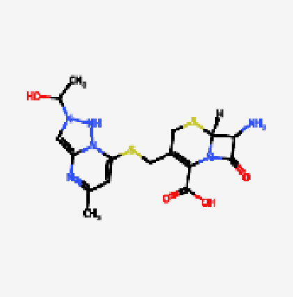 CC1=NC2=CN(C(C)O)NN2C(SCC2=C(C(=O)O)N3C(=O)C(N)[C@H]3SC2)=C1